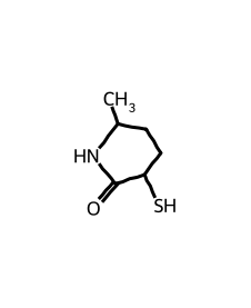 CC1CCC(S)C(=O)N1